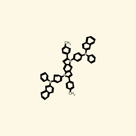 Cc1ccc(-c2cc3cc4c(cc(-c5ccc(C)cc5)n4-c4ccc(N(c5ccccc5)c5ccc6ccccc6c5)cc4)cc3n2-c2ccc(N(c3ccccc3)c3ccc4ccccc4c3)cc2)cc1